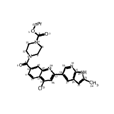 CCCOC(=O)N1CCN(C(=O)c2ccc3c(Cl)cc(-c4cnc5[nH]c(C)cc5c4)nc3c2)CC1